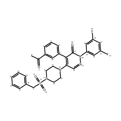 CC(=O)c1cccc(-c2c(N3CCN(S(=O)(=O)Cc4ccccc4)CC3)cnn(-c3cc(F)cc(F)c3)c2=O)c1